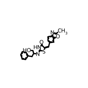 Cc1nc2ccc(C=C3SC(=NC(CO)Cc4ccccc4)NC3=O)cc2o1